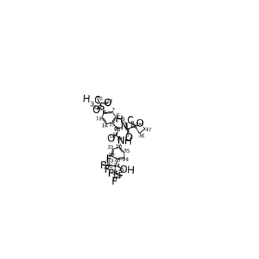 C[C@]1(C(=O)N2Cc3cc(S(C)(=O)=O)ccc3[C@@H]2C(=O)Nc2ccc(C(O)(C(F)(F)F)C(F)(F)F)cc2)CCO1